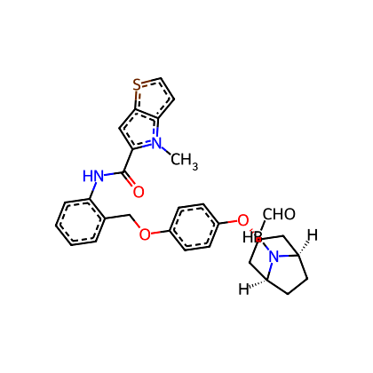 Cn1c(C(=O)Nc2ccccc2COc2ccc(O[C@@H]3C[C@H]4CC[C@@H](C3)N4BC=O)cc2)cc2sccc21